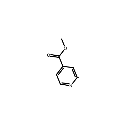 COC(=O)c1c[c]ncc1